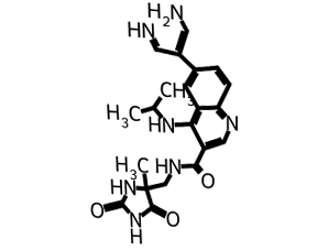 CC(C)Nc1c(C(=O)NCC2(C)NC(=O)NC2=O)cnc2ccc(/C(C=N)=C/N)cc12